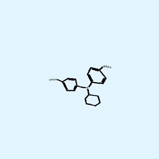 CCCCCCc1ccc([S+](c2ccc(CCCCCC)cc2)C2CCCCC2)cc1